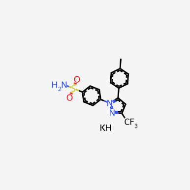 Cc1ccc(-c2cc(C(F)(F)F)nn2-c2ccc(S(N)(=O)=O)cc2)cc1.[KH]